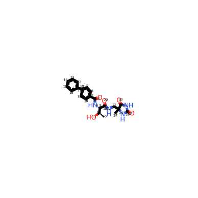 C[C@@H](O)[C@H](NC(=O)c1ccc(-c2ccccc2)cc1)C(=O)NCC1(C)NC(=O)NC1=O